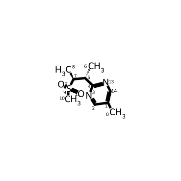 Cc1cnc([C@@H](C)[C@H](C)S(C)(=O)=O)nc1